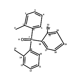 Cc1ccccc1P(=O)(c1ccccc1C)c1ccccc1Br